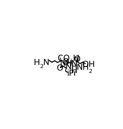 CC(C)C[C@H](NC(=O)[C@H](C)NC(=O)[C@@H](N)CO)C(=O)N[C@@H](CCCCN)C(=O)O